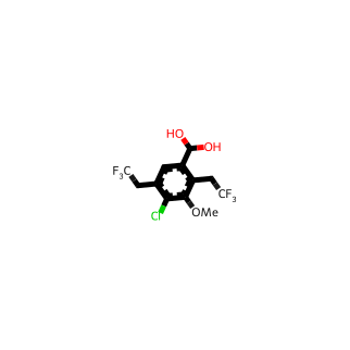 COc1c(Cl)c(CC(F)(F)F)cc(C(O)O)c1CC(F)(F)F